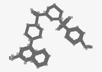 CC(=O)Nc1ccc(S(=O)(=O)N2CCCC(C(=O)N3CCN(c4cc(C(F)(F)F)nc5ccccc45)CC3)C2)cc1